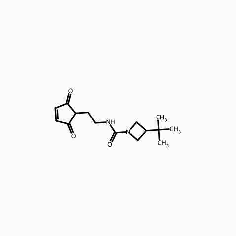 CC(C)(C)C1CN(C(=O)NCCC2C(=O)C=CC2=O)C1